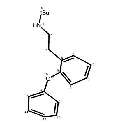 CC(C)(C)NCCc1ccccc1Oc1ccccc1